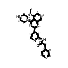 COc1cncc2nc(-c3ccnc(NC(=O)Cc4ccncc4)c3)nc(N3CCNCC3)c12